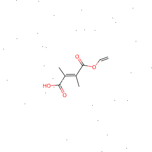 C=COC(=O)/C(C)=C(\C)C(=O)O